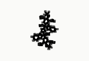 CC(C)(C)c1cc(C(O)(c2ccc(C(O)(c3cc(C(C)(C)C)c(O[Si](C)(C)C)c(C(C)(C)C)c3)c3cc4ccccc4s3)s2)c2cc3ccccc3s2)cc(C(C)(C)C)c1O[Si](C)(C)C